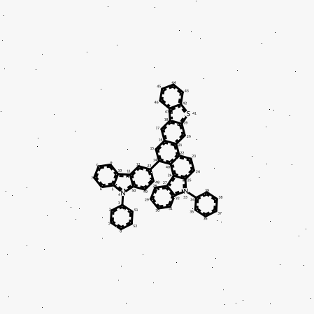 c1ccc(-n2c3ccccc3c3cc(-c4cc5cc6c(cc5c5ccc7c(c8ccccc8n7-c7ccccc7)c45)sc4ccccc46)ccc32)cc1